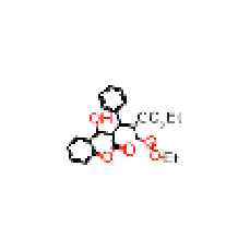 CCOOCC(C(=O)OCC)C(c1ccccc1)c1c(O)c2ccccc2oc1=O